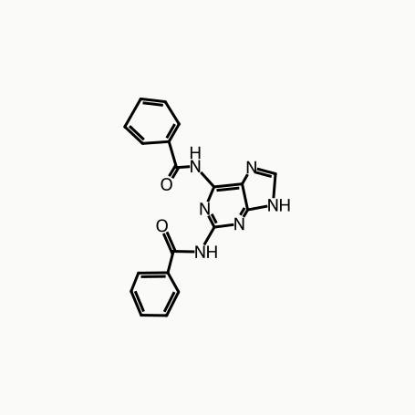 O=C(Nc1nc(NC(=O)c2ccccc2)c2nc[nH]c2n1)c1ccccc1